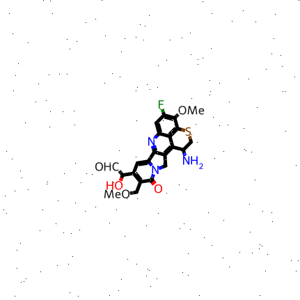 COCc1c(C(O)C=O)cc2n(c1=O)Cc1c-2nc2cc(F)c(OC)c3c2c1C(N)CS3